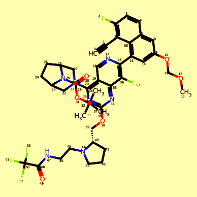 C#Cc1c(F)ccc2cc(OCOC)cc(-c3ncc4c(N5CC6CCC(C5)N6C(=O)OC(C)(C)C)nc(OC[C@@H]5CCCN5CCNC(=O)C(F)(F)F)nc4c3F)c12